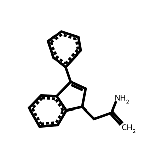 C=C(N)CC1C=C(c2ccccc2)c2ccccc21